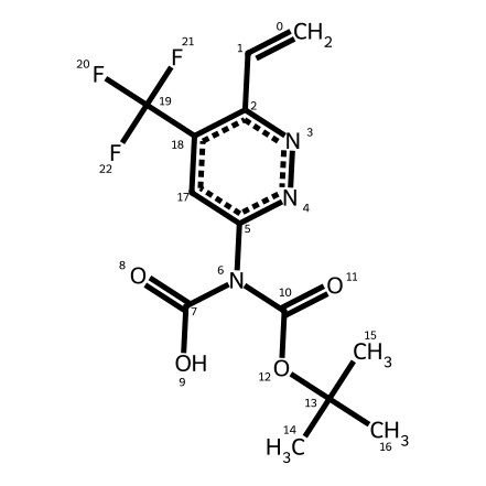 C=Cc1nnc(N(C(=O)O)C(=O)OC(C)(C)C)cc1C(F)(F)F